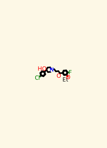 CCOc1cc(C(=O)CCCN2CCC(O)(c3ccc(Cl)cc3)CC2)ccc1F